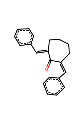 O=C1C(=Cc2ccccc2)CCCCC1=Cc1ccccc1